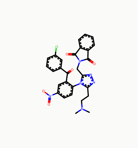 CN(C)CCc1nnc(CN2C(=O)c3ccccc3C2=O)n1-c1ccc([N+](=O)[O-])cc1C(=O)c1cccc(Cl)c1